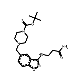 CC(C)(C)OC(=O)N1CCN(Cc2ccc3onc(NCCC(N)=O)c3c2)CC1